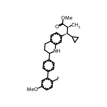 COC(=O)[C@@H](C)[C@H](c1ccc2c(c1)NC(c1ccc(-c3cc(OC)ccc3F)cc1)CC2)C1CC1